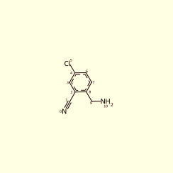 N#Cc1cc(Cl)ccc1CN